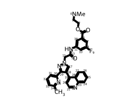 CNCCOC(=O)c1cc(F)cc(NC(=O)Cn2cc(-c3ccnc4ccccc34)c(-c3cccc(C)n3)n2)c1